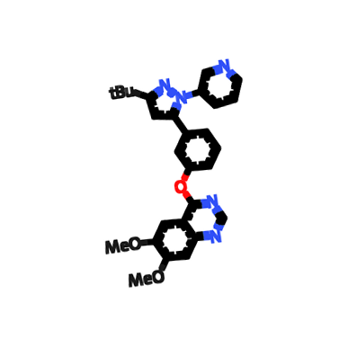 COc1cc2ncnc(Oc3cccc(-c4cc(C(C)(C)C)nn4-c4cccnc4)c3)c2cc1OC